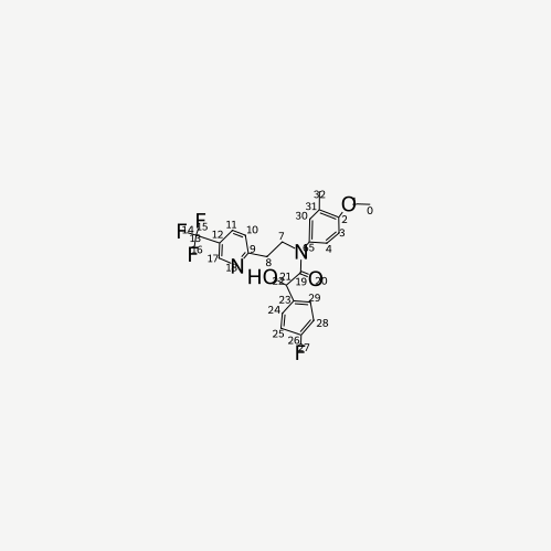 COc1ccc(N(CCc2ccc(C(F)(F)F)cn2)C(=O)C(O)c2ccc(F)cc2)cc1C